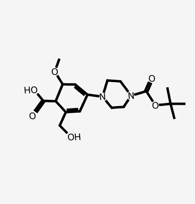 COC1C=C(N2CCN(C(=O)OC(C)(C)C)CC2)C=C(CO)C1C(=O)O